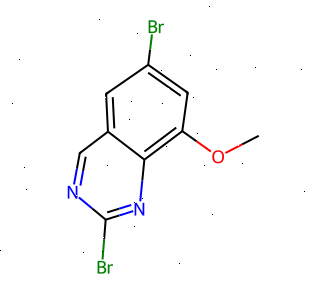 COc1cc(Br)cc2cnc(Br)nc12